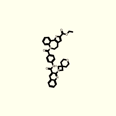 CCOC(=O)c1cc2c(s1)-c1ccccc1N(C(=O)c1ccc(NC(=O)c3cc4ccccc4nc3N3CC4(CCOCC4)C3)cc1)CC2